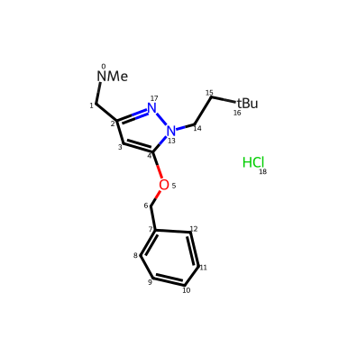 CNCc1cc(OCc2ccccc2)n(CCC(C)(C)C)n1.Cl